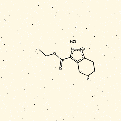 CCOC(=O)c1n[nH]c2c1CNCC2.Cl